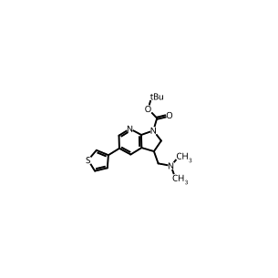 CN(C)CC1CN(C(=O)OC(C)(C)C)c2ncc(-c3ccsc3)cc21